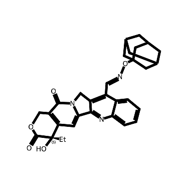 CC[C@@]1(O)C(=O)OCc2c1cc1n(c2=O)Cc2c-1nc1ccccc1c2C=NOC12CC3CC(CC(C3)C1)C2